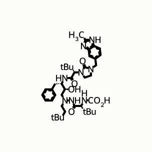 Cc1nc2cc(CN3CCN([C@H](C(=O)N[C@@H](Cc4ccccc4)[C@@H](O)CN(CCC(C)(C)C)NC(=O)[C@@H](NC(=O)O)C(C)(C)C)C(C)(C)C)C3=O)ccc2[nH]1